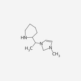 CC(C1CCCCN1)N1C=CN(C)C1